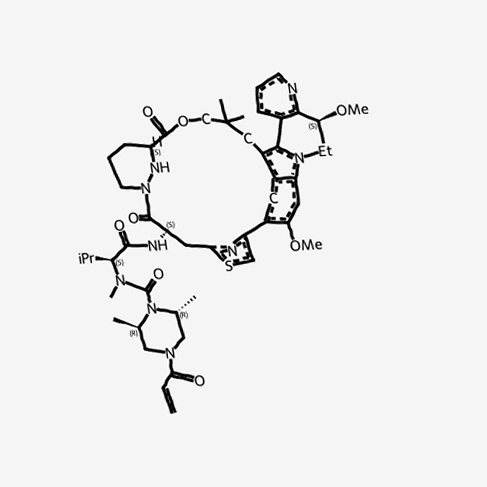 C=CC(=O)N1C[C@@H](C)N(C(=O)N(C)[C@H](C(=O)N[C@H]2Cc3nc(cs3)-c3cc4c(c(-c5cccnc5[C@H](C)OC)n(CC)c4cc3OC)CC(C)(C)COC(=O)[C@@H]3CCCN(N3)C2=O)C(C)C)[C@H](C)C1